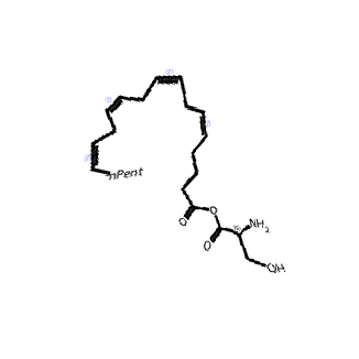 CCCCC/C=C\C/C=C\C/C=C\C/C=C\CCCC(=O)OC(=O)[C@@H](N)CO